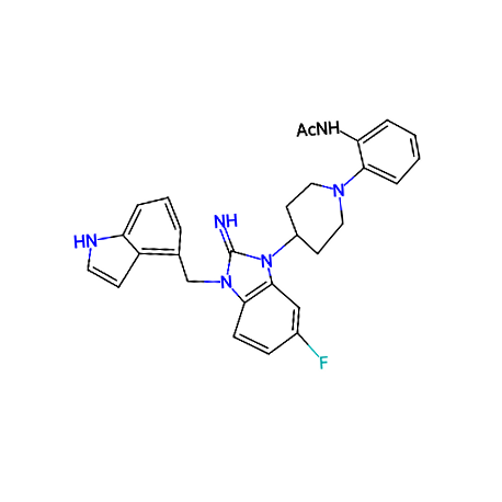 CC(=O)Nc1ccccc1N1CCC(n2c(=N)n(Cc3cccc4[nH]ccc34)c3ccc(F)cc32)CC1